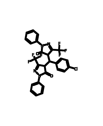 O=C1C(C(c2ccc(Cl)cc2)C2C(=O)N(c3ccccc3)N=C2C(F)(F)F)C(C(F)(F)F)=NN1c1ccccc1